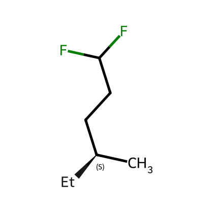 CC[C@H](C)CCC(F)F